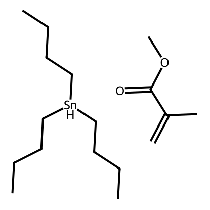 C=C(C)C(=O)OC.CCC[CH2][SnH]([CH2]CCC)[CH2]CCC